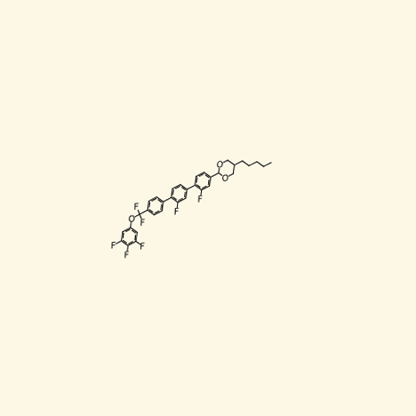 CCCCCC1COC(c2ccc(-c3ccc(-c4ccc(C(F)(F)Oc5cc(F)c(F)c(F)c5)cc4)c(F)c3)c(F)c2)OC1